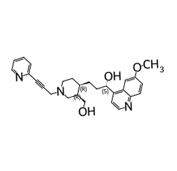 COc1ccc2nccc([C@@H](O)CC[C@@H]3CCN(CC#Cc4ccccn4)C[C@@H]3CO)c2c1